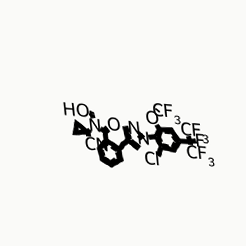 N#CC1(N(CO)C(=O)c2ccccc2-c2cnn(-c3c(Cl)cc(C(F)(C(F)(F)F)C(F)(F)F)cc3OC(F)(F)F)c2)CC1